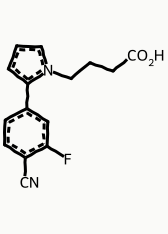 N#Cc1ccc(-c2cccn2CCCC(=O)O)cc1F